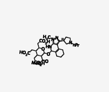 CCCN1CC[C@H](c2nn(C)c3c2C2=C(CCCC2)C(OC2OC(CC(=O)O)C(CC(=O)O)C(CC(=O)O)C2C(=O)OC)N3)C1